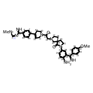 CN/C=N\C(=N)c1ccc(C2=CCN(C(=O)CN3CC[C@]4(CCN(c5ccc(N)c(C(=N)c6ccc(OC)cc6)c5)C4=O)C3)CC2)cc1